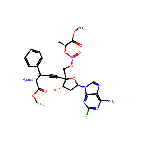 CCCCCCCCOC(=O)[C@H](C)O[PH](=O)OC[C@@]1(C#CC(c2ccccc2)[C@H](N)C(=O)OCCCCCCCC)O[C@@H](n2cnc3c(N)nc(F)nc32)C[C@@H]1O